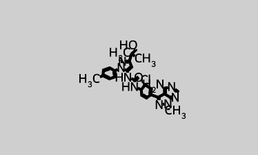 Cc1ccc(-n2nc(C(C)(C)CO)cc2NC(=O)NC2C=CC(c3nn(C)c4ncnc(N)c34)=CC2Cl)cc1